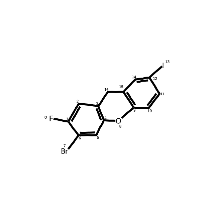 Fc1cc2c(cc1Br)Oc1ccc(I)cc1C2